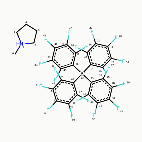 C[NH+]1CCCC1.Fc1c(F)c(F)c([B-](c2c(F)c(F)c(F)c(F)c2F)(c2c(F)c(F)c(F)c(F)c2F)c2c(F)c(F)c(F)c(F)c2F)c(F)c1F